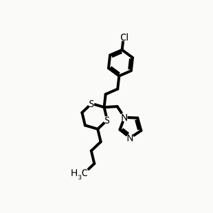 CCCCC1CCSC(CCc2ccc(Cl)cc2)(Cn2ccnc2)S1